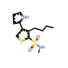 CCCCc1c(-c2ccc[nH]2)csc1S(=O)(=O)NC